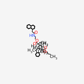 CCCCOC(=O)C(C)(CC(C)(C)C(C)(CC)C(=O)OCCNC(=O)Cc1cccc2ccccc12)C(C)(C)CC(C)c1ccccc1